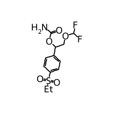 CCS(=O)(=O)c1ccc(C(COC(F)F)OC(N)=O)cc1